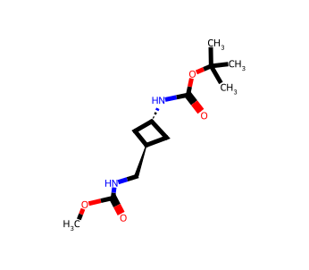 COC(=O)NC[C@H]1C[C@H](NC(=O)OC(C)(C)C)C1